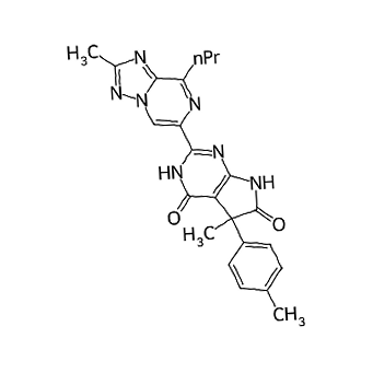 CCCc1nc(-c2nc3c(c(=O)[nH]2)C(C)(c2ccc(C)cc2)C(=O)N3)cn2nc(C)nc12